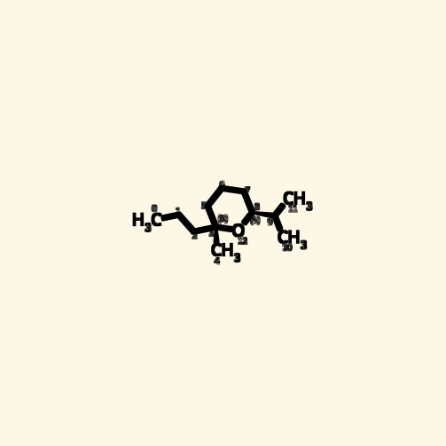 CCC[C@]1(C)CCC[C@@H](C(C)C)O1